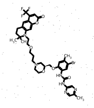 Cc1cnc(NC(=O)Nc2cc(Br)c(C)cc2OC[C@@H]2CN(CCCOCCN3c4cc5oc(=O)cc(C(F)(F)F)c5cc4CCC3(C)C)CCO2)cn1